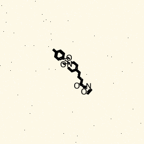 Cc1ccc(S(=O)(=O)N2CCC(CCCC(=O)c3ncco3)CC2)cc1